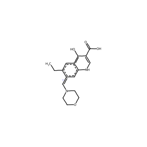 CCc1cc2c(c/c1=C\N1CCOCC1)NC=C(C(=O)O)C=2O